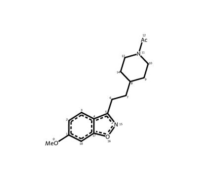 COc1ccc2c(CCC3CCN(C(C)=O)CC3)noc2c1